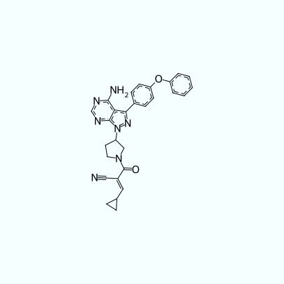 N#CC(=CC1CC1)C(=O)N1CCC(n2nc(-c3ccc(Oc4ccccc4)cc3)c3c(N)ncnc32)C1